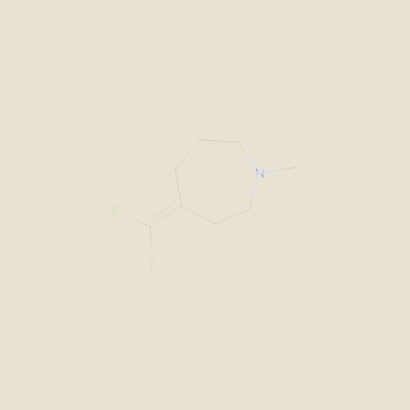 CN1CCCC(=C(F)F)CC1